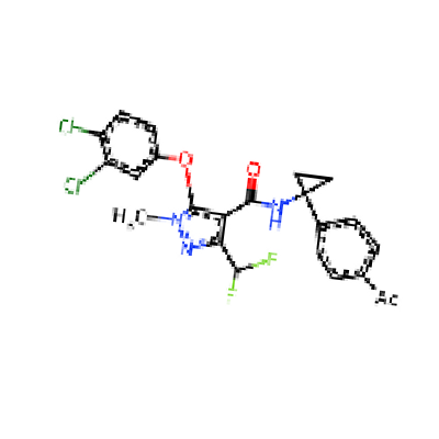 CC(=O)c1ccc(C2(NC(=O)c3c(C(F)F)nn(C)c3Oc3ccc(Cl)c(Cl)c3)CC2)cc1